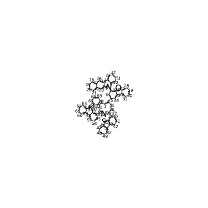 CC1C/C=C(\c2cc(-n3c4ccccc4c4cc5ccccc5cc43)c3oc4ccccc4c3c2)CC(C)[C@H](c2cccc3c2sc2ccccc23)/N=C\1c1cccc2c3ccccc3n(-c3ccccc3)c12